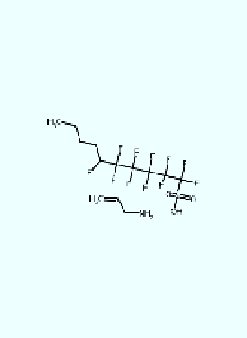 C=CCN.CCCCC(F)C(F)(F)C(F)(F)C(F)(F)C(F)(F)C(F)(F)S(=O)(=O)O